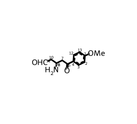 COc1ccc(C(=O)C[C@@H](N)CC=O)cc1